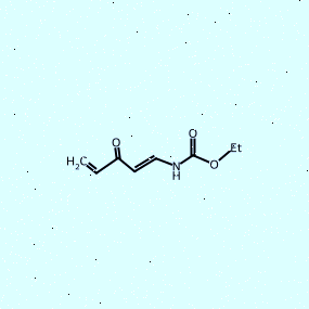 C=CC(=O)C=CNC(=O)OCC